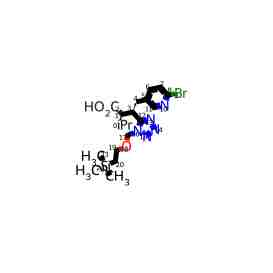 CC(C)[C@H](C(=O)O)[C@H](Cc1ccc(Br)nc1)c1nnnn1COCC[Si](C)(C)C